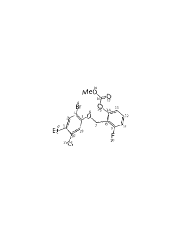 CCc1cc(Br)c(OCc2c(F)cccc2OC(=O)OC)cc1Cl